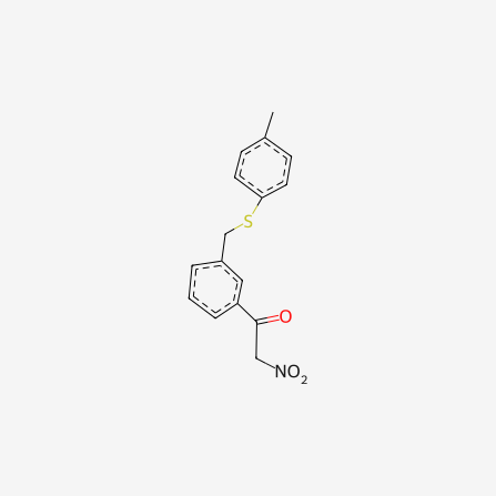 Cc1ccc(SCc2cccc(C(=O)C[N+](=O)[O-])c2)cc1